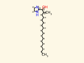 CCCCCCCCCCCCCCCCC(C)C(O)C1=NCCN1